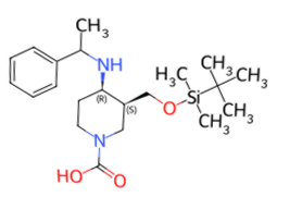 CC(N[C@@H]1CCN(C(=O)O)C[C@@H]1CO[Si](C)(C)C(C)(C)C)c1ccccc1